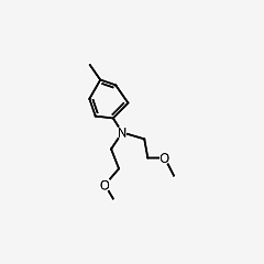 COCCN(CCOC)c1ccc(C)cc1